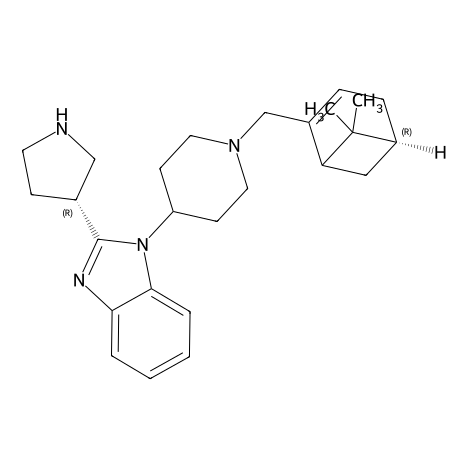 CC1(C)C2C[C@@H]1CC=C2CN1CCC(n2c([C@@H]3CCNC3)nc3ccccc32)CC1